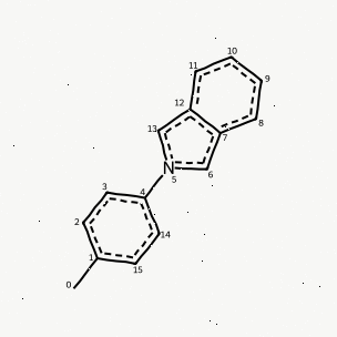 Cc1ccc(-n2cc3ccccc3c2)cc1